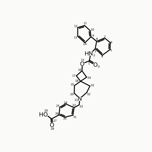 O=C(Nc1ccccc1-c1ccccc1)OC1CC2(CCN(Cc3ccc(C(=O)O)cc3)CC2)C1